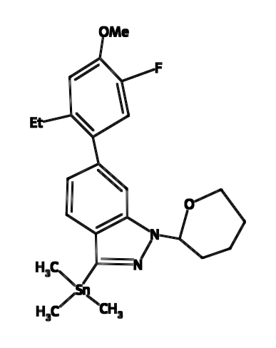 CCc1cc(OC)c(F)cc1-c1ccc2[c]([Sn]([CH3])([CH3])[CH3])nn(C3CCCCO3)c2c1